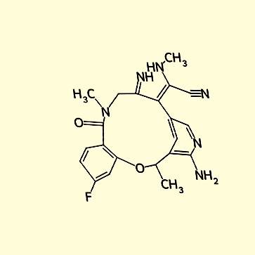 CN/C(C#N)=C1\C(=N)CN(C)C(=O)c2ccc(F)cc2OC(C)c2cc1cnc2N